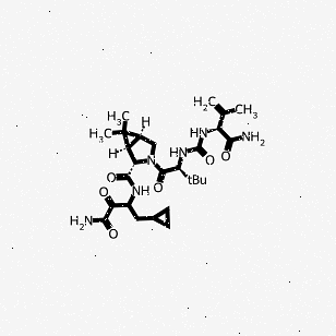 C=C(C)[C@H](NC(=O)N[C@H](C(=O)N1C[C@H]2[C@@H]([C@H]1C(=O)NC(CC1CC1)C(=O)C(N)=O)C2(C)C)C(C)(C)C)C(N)=O